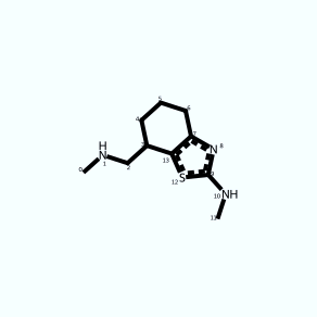 CNCC1CCCc2nc(NC)sc21